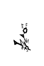 Cc1cc2c(N[C@@H]3C[C@H]3c3ccc(F)c(F)c3)nc(C3CC3)nc2s1